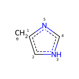 [CH2].c1c[nH]cn1